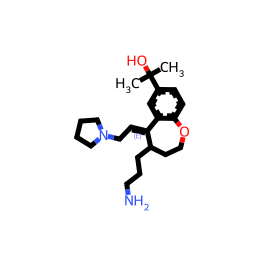 CC(C)(O)c1ccc2c(c1)/C(=C/CN1CCCC1)C(CCCN)CCO2